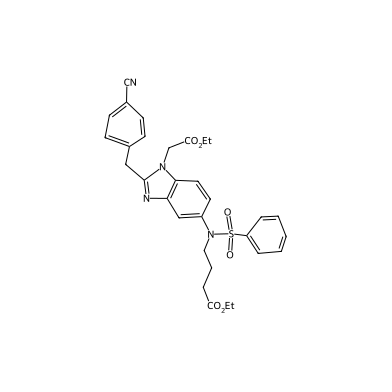 CCOC(=O)CCCN(c1ccc2c(c1)nc(Cc1ccc(C#N)cc1)n2CC(=O)OCC)S(=O)(=O)c1ccccc1